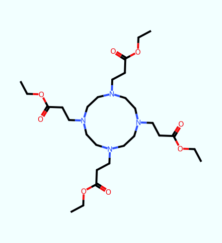 CCOC(=O)CCN1CCN(CCC(=O)OCC)CCN(CCC(=O)OCC)CCN(CCC(=O)OCC)CC1